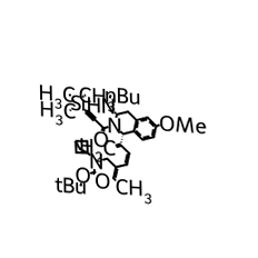 C=C(/C=C\C(=C/C)CN(C(=O)OC(C)(C)C)C12CC(C1)C2)[C@H]1c2ccc(OC)cc2C[C@H](NCCCC)N1C(=O)C#C[Si](C)(C)C